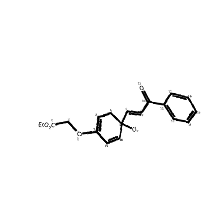 CCOC(=O)COC1=CCC(Cl)(C=CC(=O)c2ccccc2)C=C1